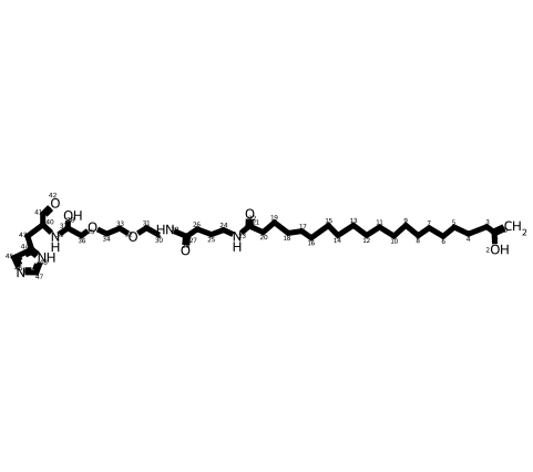 C=C(O)CCCCCCCCCCCCCCCCCCC(=O)NCCCC(=O)NCCOCCOCC(O)NC(C=O)Cc1cnc[nH]1